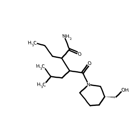 CCCC(C(N)=O)C(CC(C)C)C(=O)N1CCC[C@@H](CO)C1